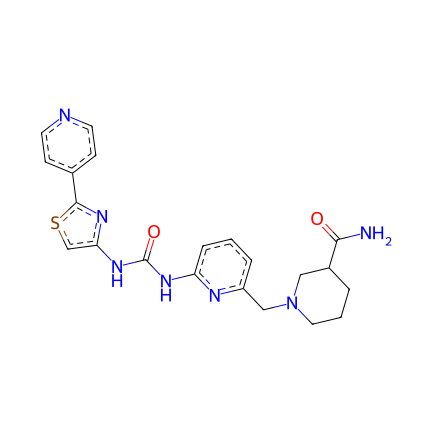 NC(=O)C1CCCN(Cc2cccc(NC(=O)Nc3csc(-c4ccncc4)n3)n2)C1